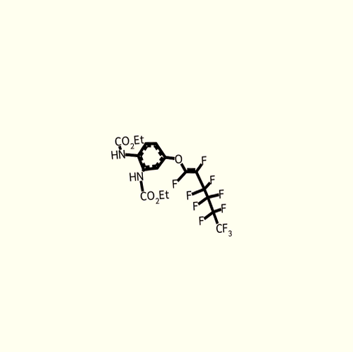 CCOC(=O)Nc1ccc(OC(F)=C(F)C(F)(F)C(F)(F)C(F)(F)C(F)(F)F)cc1NC(=O)OCC